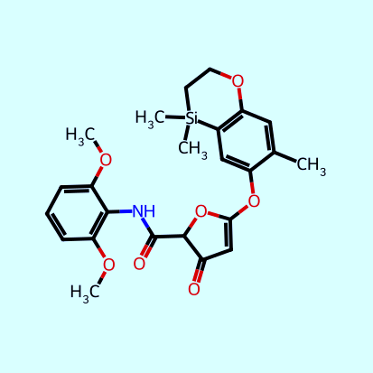 COc1cccc(OC)c1NC(=O)C1OC(Oc2cc3c(cc2C)OCC[Si]3(C)C)=CC1=O